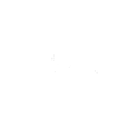 Cn1c2ccccc2c2ccc(OCC(=O)NCCc3ccccc3)cc21